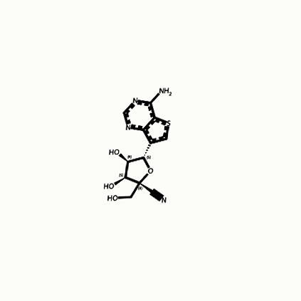 N#C[C@]1(CO)O[C@@H](c2csc3c(N)ncnc23)[C@H](O)[C@@H]1O